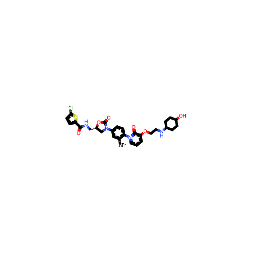 CCCc1cc(N2C[C@H](CNC(=O)c3ccc(Cl)s3)OC2=O)ccc1-n1cccc(OCCNC2CCC(O)CC2)c1=O